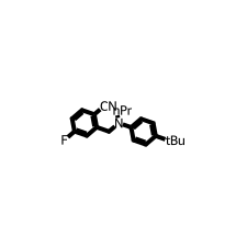 CCCN(Cc1cc(F)ccc1C#N)c1ccc(C(C)(C)C)cc1